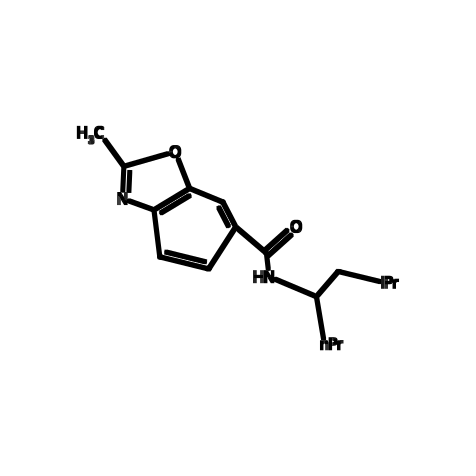 CCCC(CC(C)C)NC(=O)c1ccc2nc(C)oc2c1